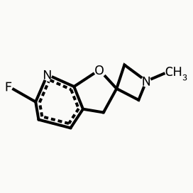 CN1CC2(Cc3ccc(F)nc3O2)C1